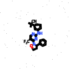 CC(C)(C#N)c1cccc(Nc2ncc(C(F)(F)F)c(N3OCCC3c3ccccc3)n2)c1